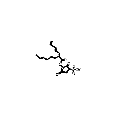 CCCCCCC(CCCCC)C(=O)ON1C(=O)CC(S(=O)(=O)O)C1=O